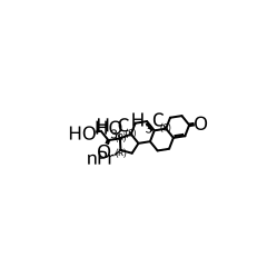 CCC[C@@H]1CC2C3CCC4=CC(=O)CC[C@]4(C)C3=CC[C@]2(C)[C@@]1(O)C(=O)CO